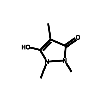 Cc1c(O)n(C)n(C)c1=O